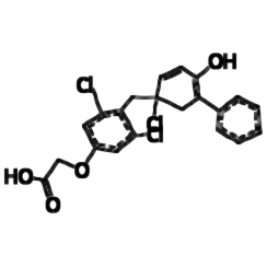 O=C(O)COc1cc(Cl)c(CC2(Cl)C=CC(O)=C(c3ccccc3)C2)c(Cl)c1